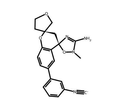 [C-]#[N+]c1cccc(-c2ccc3c(c2)[C@]2(C[C@]4(CCOC4)O3)N=C(N)N(C)O2)c1